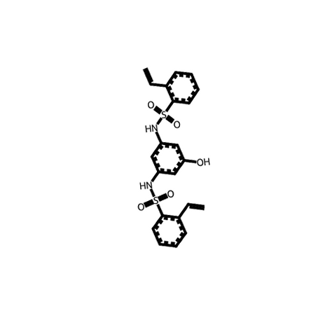 C=Cc1ccccc1S(=O)(=O)Nc1cc(O)cc(NS(=O)(=O)c2ccccc2C=C)c1